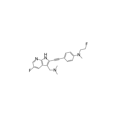 CN(C)Cc1c(C#Cc2ccc(N(C)CCF)cc2)[nH]c2ncc(F)cc12